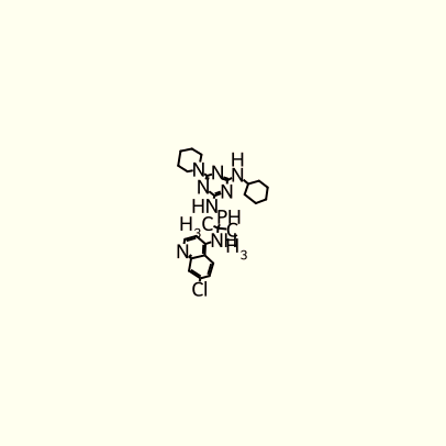 CC(C)(Nc1ccnc2cc(Cl)ccc12)PNc1nc(NC2CCCCC2)nc(N2CCCCC2)n1